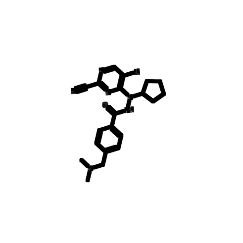 CN(C)Cc1ccc(C(=O)NN(c2nc(C#N)ncc2Cl)C2CCCC2)cc1